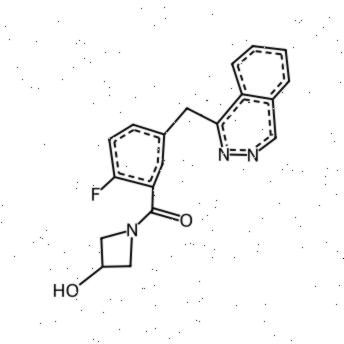 O=C(c1cc(Cc2nncc3ccccc23)ccc1F)N1CC(O)C1